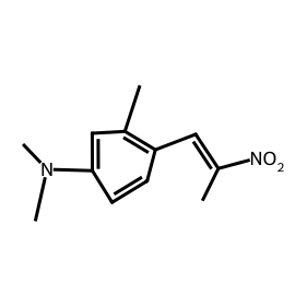 C/C(=C\c1ccc(N(C)C)cc1C)[N+](=O)[O-]